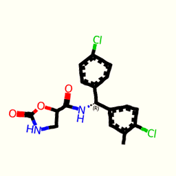 Cc1cc([C@H](NC(=O)C2CNC(=O)O2)c2ccc(Cl)cc2)ccc1Cl